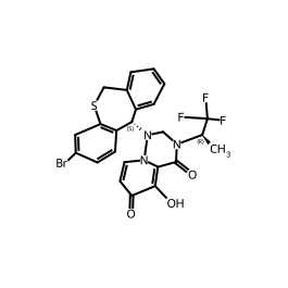 C[C@@H](N1CN([C@H]2c3ccccc3CSc3cc(Br)ccc32)n2ccc(=O)c(O)c2C1=O)C(F)(F)F